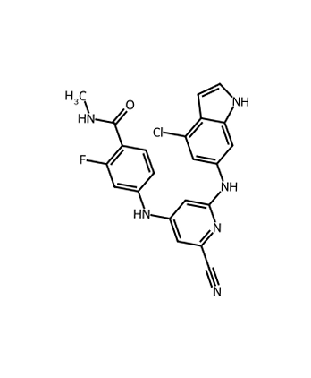 CNC(=O)c1ccc(Nc2cc(C#N)nc(Nc3cc(Cl)c4cc[nH]c4c3)c2)cc1F